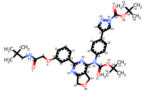 CC(C)(C)CNC(=O)COc1cccc(-c2nc3c(c(N(C(=O)OC(C)(C)C)c4ccc(-c5cnn(C(=O)OC(C)(C)C)c5)cc4)n2)COC3)c1